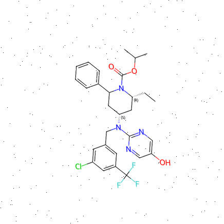 CC[C@@H]1C[C@H](N(Cc2cc(Cl)cc(C(F)(F)F)c2)c2ncc(O)cn2)CC(c2ccccc2)N1C(=O)OC(C)C